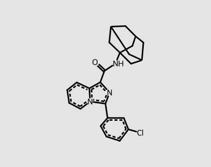 O=C(NC12CC3CC(CC(C3)C1)C2)c1nc(-c2cccc(Cl)c2)n2ccccc12